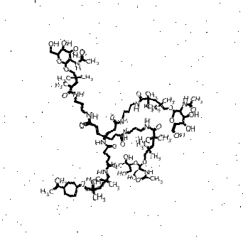 CC(=O)NC1C(OCC(C)(C)CC(C)C(=O)NCCCNC(=O)CCC(CCC(=O)NCCCNC(=O)C(C)(C)CC(C)(C)COC2OC(CO)C(O)C(O)C2NC(C)=O)(CCC(=O)NCCCNC(=O)C(C)(C)CC(C)(C)COC(OC(CO)[C@@H](C)O)[C@H](CO)NC(C)=O)NC(=O)CCCC(=O)NCC(C)(C)CC(C)(C)COC2CCCC(C(C)C)CC2)OC(CO)C(O)C1O